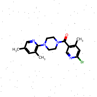 Cc1cnc(N2CCN(C(=O)c3cnc(Br)cc3C)CC2)c(C)c1